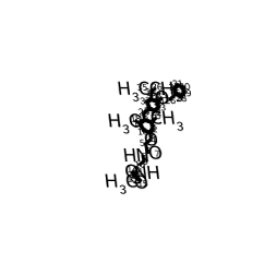 Cc1cc(OCC(=O)NCCNS(C)(=O)=O)cc(C)c1Cc1ccc(OCc2ccccc2)c(C(C)C)c1